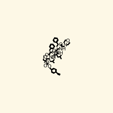 C#Cc1ccc(COC(=O)O[C@](C)(CI)C(=O)[C@H](CC(C)C)NC(=O)[C@H](Cc2ccccc2)NC(=O)C(CC(C)C)NC(=O)[C@H](CCc2ccccc2)NC(=O)CN2CCOCC2)cc1